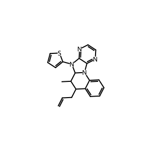 C=CCC1c2ccccc2N2c3nccnc3N(c3cccs3)C2C1C